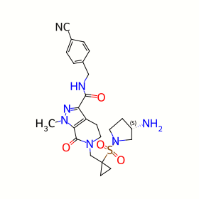 Cn1nc(C(=O)NCc2ccc(C#N)cc2)c2c1C(=O)N(CC1(S(=O)(=O)N3CC[C@H](N)C3)CC1)CC2